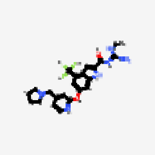 CNC(N)=NC(=O)c1cc2c(C(F)(F)F)cc(Oc3cc(CN4CCCC4)ccn3)cc2[nH]1